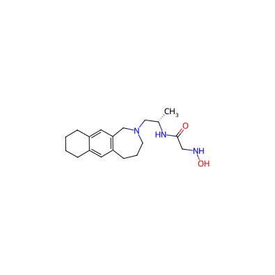 C[C@@H](CN1CCCc2cc3c(cc2C1)CCCC3)NC(=O)CNO